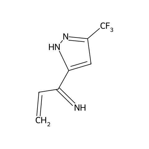 C=CC(=N)c1cc(C(F)(F)F)n[nH]1